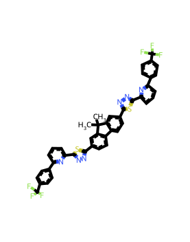 CC1(C)c2cc(-c3nnc(-c4cccc(-c5ccc(C(F)(F)F)cc5)n4)s3)ccc2-c2ccc(-c3nnc(-c4cccc(-c5ccc(C(F)(F)F)cc5)n4)s3)cc21